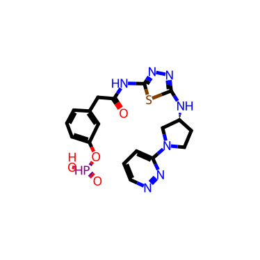 O=C(Cc1cccc(O[PH](=O)O)c1)Nc1nnc(N[C@@H]2CCN(c3cccnn3)C2)s1